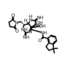 CC1(C)CCc2c(C(=O)NC3CN4C(=N)N[C@@H](CN5C(=O)CCC5=O)[C@@H]5NC(=N)NC54C3(O)O)cccc21